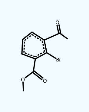 COC(=O)c1cccc(C(C)=O)c1Br